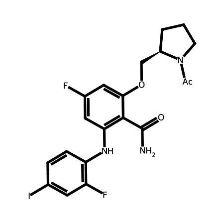 CC(=O)N1CCC[C@@H]1COc1cc(F)cc(Nc2ccc(I)cc2F)c1C(N)=O